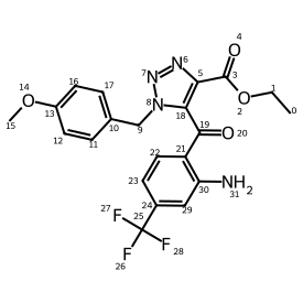 CCOC(=O)c1nnn(Cc2ccc(OC)cc2)c1C(=O)c1ccc(C(F)(F)F)cc1N